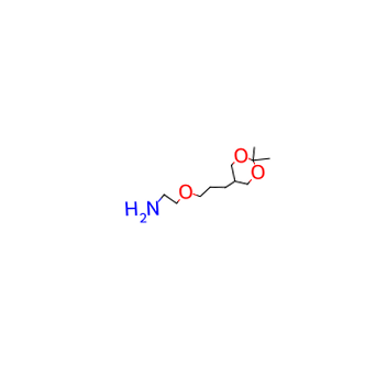 CC1(C)OCC(CCCOCCN)CO1